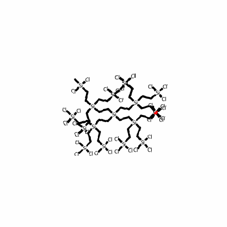 C[Si](Cl)(Cl)CC[Si](CC[Si](Cl)(Cl)Cl)(CC[Si](Cl)(Cl)Cl)CC[Si](CC[Si](CC[Si](Cl)(Cl)Cl)(CC[Si](Cl)(Cl)Cl)CC[Si](Cl)(Cl)Cl)(CC[Si](CC[Si](Cl)(Cl)Cl)(CC[Si](Cl)(Cl)Cl)CC[Si](Cl)(Cl)Cl)CC[Si](CC[Si](Cl)(Cl)Cl)(CC[Si](Cl)(Cl)Cl)CC[Si](Cl)(Cl)Cl